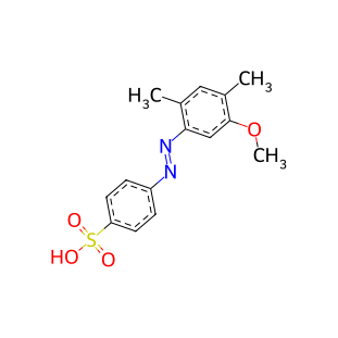 COc1cc(N=Nc2ccc(S(=O)(=O)O)cc2)c(C)cc1C